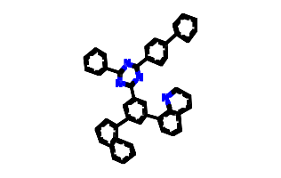 c1ccc(-c2ccc(-c3nc(-c4ccccc4)nc(-c4cc(-c5cccc6ccccc56)cc(-c5cccc6cccnc56)c4)n3)cc2)cc1